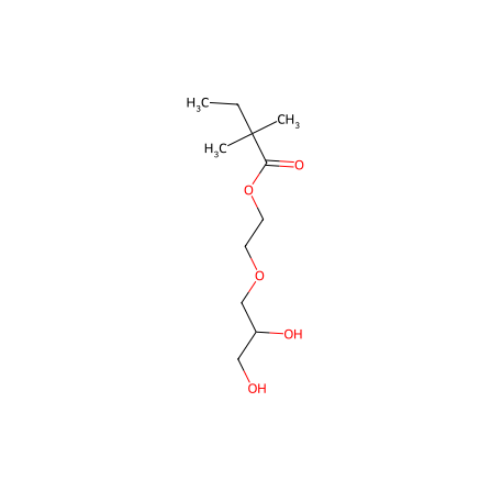 CCC(C)(C)C(=O)OCCOCC(O)CO